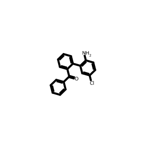 Nc1ccc(Cl)cc1-c1ccccc1C(=O)c1ccccc1